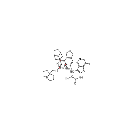 CC(C)(C)OC(=O)Nc1sc2c(F)cnc(-c3c4c(c5c(N6C7CCC6CN(C(=O)OC(C)(C)C)C7)nc(OCC67CCCN6CCC7)nc5c3F)COC4)c2c1C#N